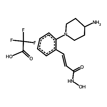 NC1CCN(c2ccccc2/C=C/C(=O)NO)CC1.O=C(O)C(F)(F)F